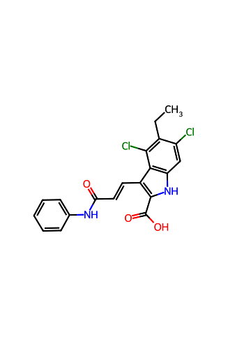 CCc1c(Cl)cc2[nH]c(C(=O)O)c(C=CC(=O)Nc3ccccc3)c2c1Cl